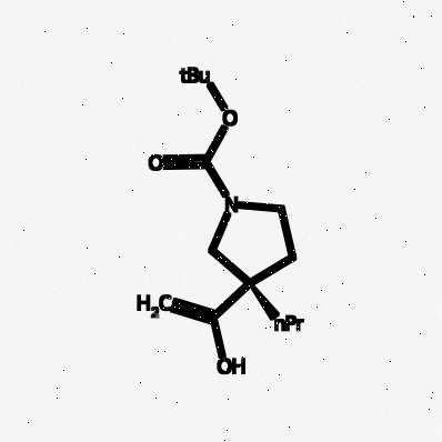 C=C(O)[C@@]1(CCC)CCN(C(=O)OC(C)(C)C)C1